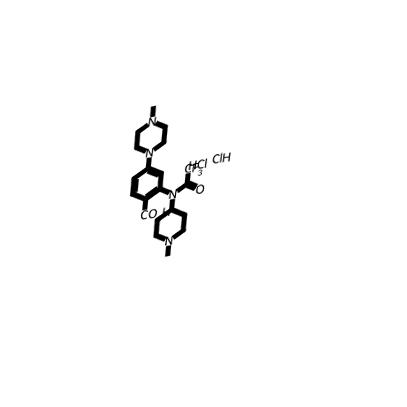 CN1CCC(N(C(=O)C(F)(F)F)c2cc(N3CCN(C)CC3)ccc2C(=O)O)CC1.Cl.Cl